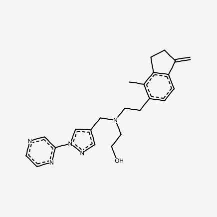 C=C1CCc2c1ccc(CCN(CCO)Cc1cnn(-c3cnccn3)c1)c2C